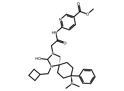 COC(=O)c1ccc(NC(=O)CN2C[C@]3(CC[C@](c4ccccc4)(N(C)C)CC3)N(CC3CCC3)C2O)nc1